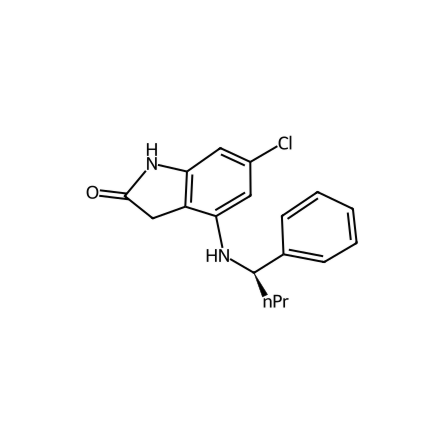 CCC[C@@H](Nc1cc(Cl)cc2c1CC(=O)N2)c1ccccc1